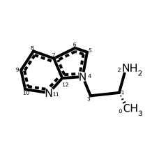 C[C@@H](N)Cn1ccc2cccnc21